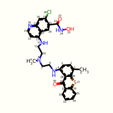 Cc1ccc(NCCN(C)CCNc2ccnc3cc(Cl)c(C(=O)NO)cc23)c2c(=O)c3ccccc3sc12